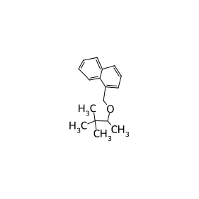 CC(OCc1cccc2ccccc12)C(C)(C)C